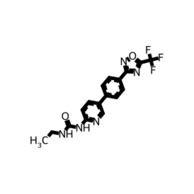 CCNC(=O)Nc1ccc(-c2ccc(-c3noc(C(F)(F)F)n3)cc2)cn1